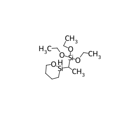 CCO[Si](OCC)(OCC)C(C)[SiH]1CCCCO1